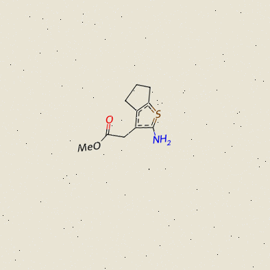 COC(=O)Cc1c(N)sc2c1CCC2